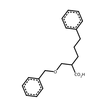 O=C(O)C(CCCc1ccccc1)COCc1ccccc1